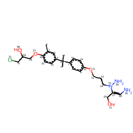 Cc1cc(C(C)(C)c2ccc(OCCCN(N)/C(=C\N)CO)cc2)ccc1OCC(O)CCl